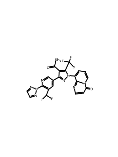 NC(=O)c1c(-c2cnc(-n3nccn3)c(C(F)F)c2)nn(-c2cccn3c(=O)ccnc23)c1C(F)(F)F